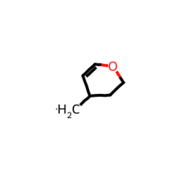 [CH2]C1C=COCC1